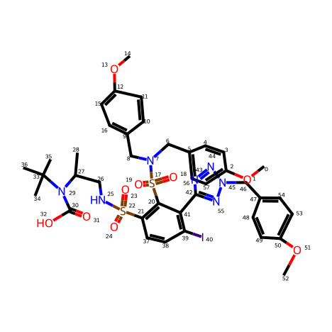 COc1ccc(CN(Cc2ccc(OC)cc2)S(=O)(=O)c2c(S(=O)(=O)NCC(C)N(C(=O)O)C(C)(C)C)ccc(I)c2-c2nnn(Cc3ccc(OC)cc3)n2)cc1